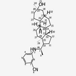 C[C@@H](Nc1cccc(C#N)c1)C1CC[C@H]2[C@@H]3CC[C@@H]4C[C@](C)(O)CC[C@@H]4[C@H]3CC[C@]12C